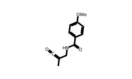 COc1ccc(C(=O)NCC(C)=C=O)cc1